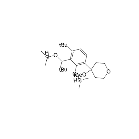 COC1(c2ccc(C(C)(C)C)c(C(O[SiH](C)C)C(C)(C)C)c2O[SiH](C)C)CCOCC1